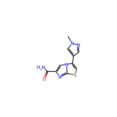 Cn1cc(-c2csc3nc(C(N)=O)cn23)cn1